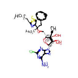 C#C[C@@]1(O)[C@@H](COC(Cc2ccccc2)(C(=O)O)c2csc(C(=O)O)n2)O[C@@H](n2cnc3c(N)nc(Cl)nc32)[C@@H]1O